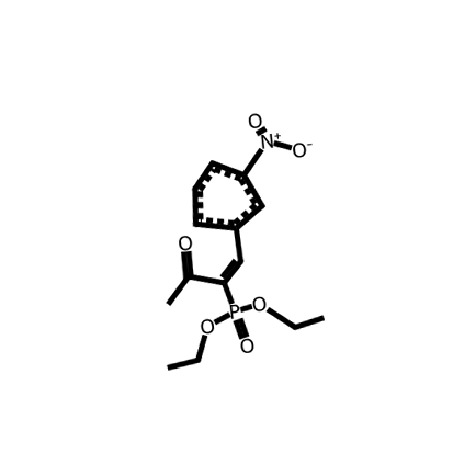 CCOP(=O)(OCC)/C(=C/c1cccc([N+](=O)[O-])c1)C(C)=O